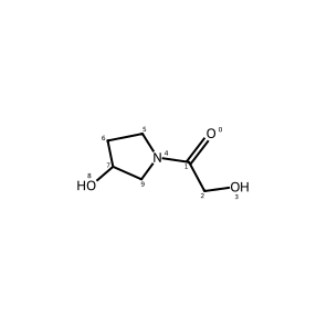 O=C(CO)N1CCC(O)C1